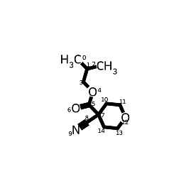 CC(C)COC(=O)C1(C#N)CCOCC1